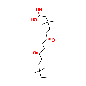 CCC(C)(C)CCC(=O)CCC(=O)CCC(C)(C)CC(O)O